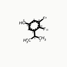 CC(C)c1cc(O)cc(F)c1F